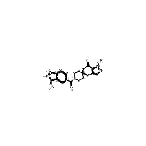 CC(C)n1ncc2c1C(=O)CC1(CCN(C(=O)c3ccc4[nH]nc(C#N)c4c3)CC1)C2